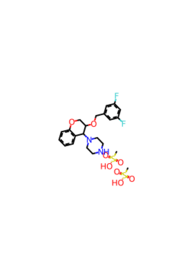 CS(=O)(=O)O.CS(=O)(=O)O.Fc1cc(F)cc(COC2COc3ccccc3C2N2CCNCC2)c1